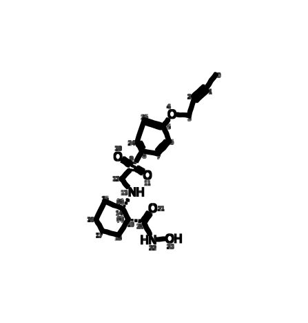 CC#CCOc1ccc(S(=O)(=O)CN[C@H]2CCCC[C@H]2C(=O)NO)cc1